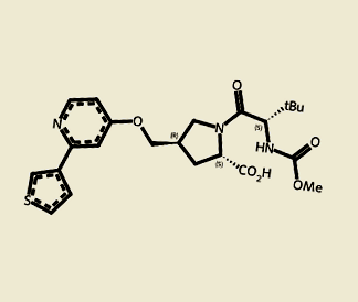 COC(=O)N[C@H](C(=O)N1C[C@H](COc2ccnc(-c3ccsc3)c2)C[C@H]1C(=O)O)C(C)(C)C